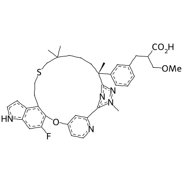 COCC(Cc1cccc([C@@]2(C)CCCC(C)(C)CSCCc3c(c(F)cc4[nH]ccc34)Oc3ccnc(c3)-c3nc2nn3C)c1)C(=O)O